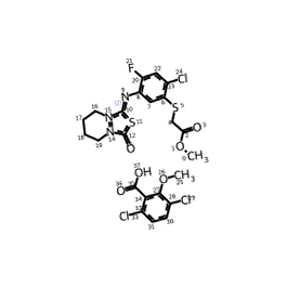 COC(=O)CSc1cc(/N=c2\sc(=O)n3n2CCCC3)c(F)cc1Cl.COc1c(Cl)ccc(Cl)c1C(=O)O